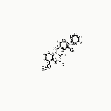 CCOc1cccc(C2CCc3c(cnn(-c4ncccn4)c3=O)C2)c1C